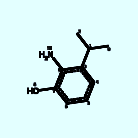 CC(C)c1cccc(O)c1N